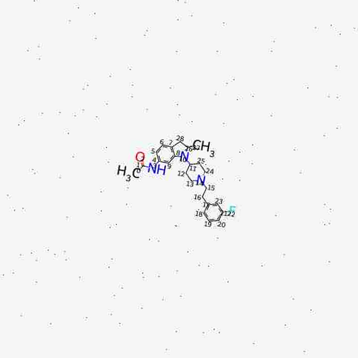 CC(=O)Nc1ccc2c(c1)N(C1CCN(CCc3cccc(F)c3)CC1)C(C)C2